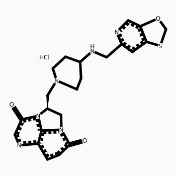 Cl.O=c1ccc2ncc(=O)n3c2n1C[C@@H]3CN1CCC(NCc2cc3c(cn2)OCS3)CC1